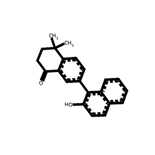 CC1(C)CCC(=O)c2cc(-c3c(O)ccc4ccccc34)ccc21